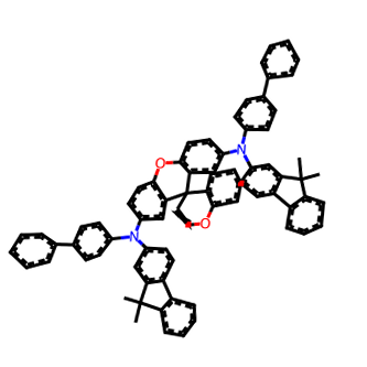 CC1(C)c2ccccc2-c2ccc(N(c3ccc(-c4ccccc4)cc3)c3ccc4c(c3)C3(C5=CCCC=C5Oc5ccccc53)c3cc(N(c5ccc(-c6ccccc6)cc5)c5ccc6c(c5)C(C)(C)c5ccccc5-6)ccc3O4)cc21